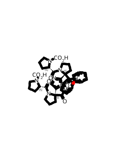 O=C(O)N1CCC[C@H]1C(=O)N1CCC[C@@]1(C(=O)n1c2ccc1cc2)c1cnc([C@]2(C(=O)n3c4ccc3cc4)CCCN2C(=O)[C@@H]2CCCN2C(=O)O)o1